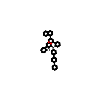 c1ccc(-c2ccc(-c3ccc(N(c4ccccc4-c4cccc(-c5cccc6ccccc56)c4)c4cccc5c4oc4ccccc45)cc3)cc2)cc1